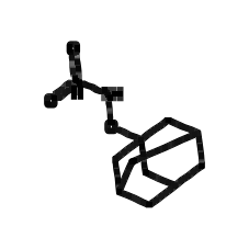 O=[SH](=O)NOC12CC3CC(CC(C3)C1)C2